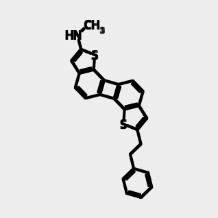 CNc1cc2ccc3c(c2s1)-c1ccc2cc(CCc4ccccc4)sc2c1-3